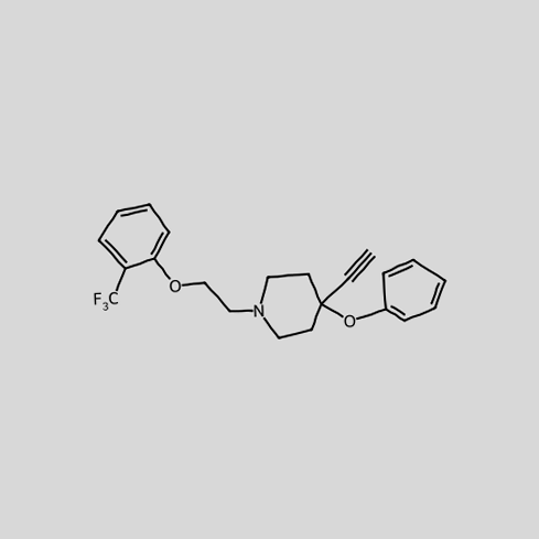 C#CC1(Oc2ccccc2)CCN(CCOc2ccccc2C(F)(F)F)CC1